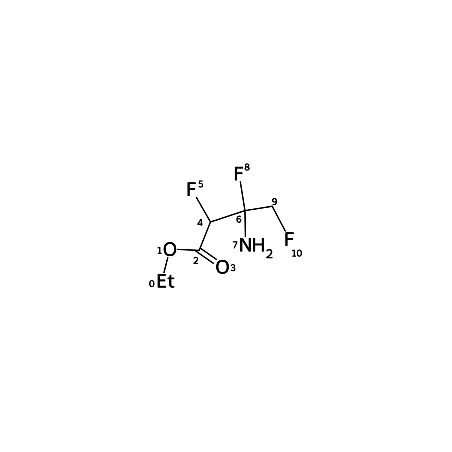 CCOC(=O)C(F)C(N)(F)CF